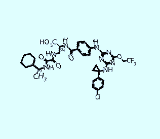 C[C@@H](NC(=O)C(=O)NC[C@H](NC(=O)c1ccc(Nc2nc(NC3(c4ccc(Cl)cc4)CC3)nc(OCC(F)(F)F)n2)cc1)C(=O)O)C1CCCCC1